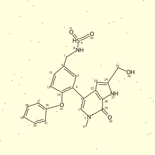 Cn1cc(-c2cc(CN[SH](=O)=O)ccc2Oc2ccccc2)c2cc(CO)[nH]c2c1=O